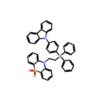 O=S1(=O)c2ccccc2N(CC[Si](c2ccccc2)(c2ccccc2)c2ccc(-n3c4ccccc4c4ccccc43)cc2)c2ccccc21